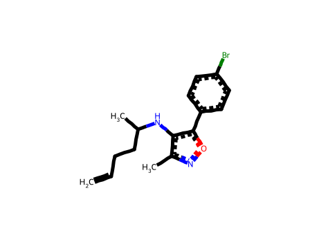 C=CCCC(C)Nc1c(C)noc1-c1ccc(Br)cc1